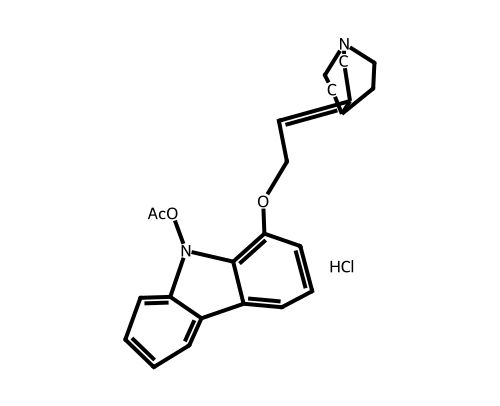 CC(=O)On1c2ccccc2c2cccc(OCC=C3CN4CCC3CC4)c21.Cl